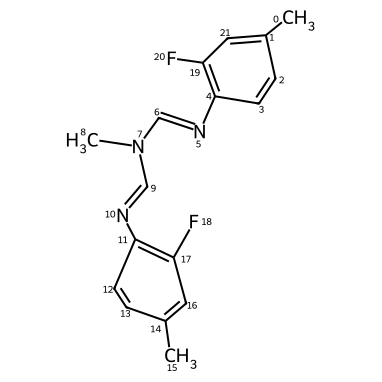 Cc1ccc(/N=C/N(C)/C=N/c2ccc(C)cc2F)c(F)c1